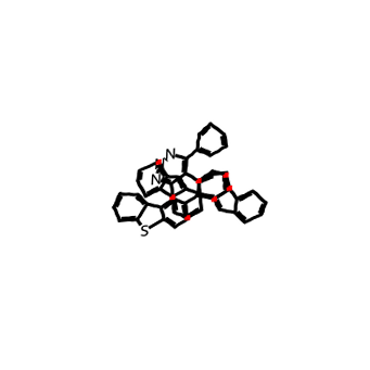 C1=CC2(C3=Cc4ccccc4C3=C1)C1=Cc3ccccc3C1=CC=C2c1c(-c2ccccc2)nnnc1-c1c(-c2ccccc2)ccc2sc3ccccc3c12